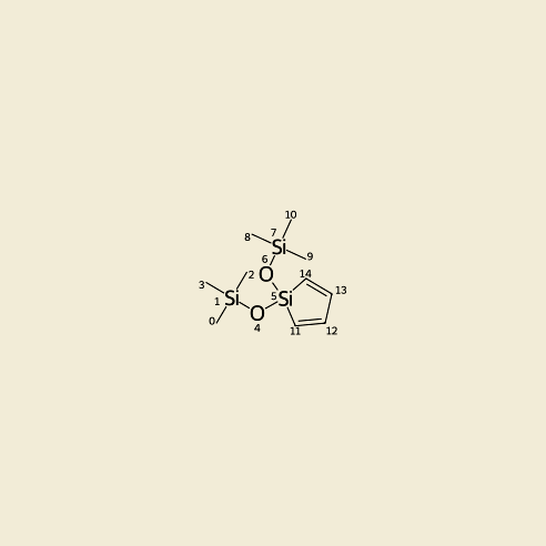 C[Si](C)(C)O[Si]1(O[Si](C)(C)C)C=CC=C1